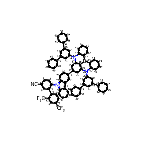 N#Cc1ccc(-n2c3ccccc3c3cc(-c4cc5c6c(c4)N(c4cc(-c7ccccc7)cc(-c7ccccc7)c4)c4ccccc4B6c4ccccc4N5c4cc(-c5ccccc5)cc(-c5ccccc5)c4)ccc32)c(-c2ccc(C(F)(F)F)cc2C(F)(F)F)c1